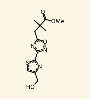 COC(=O)C(C)(C)Cc1nc(-c2nc(CO)cs2)no1